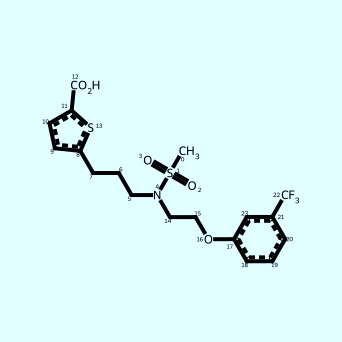 CS(=O)(=O)N(CCCc1ccc(C(=O)O)s1)CCOc1cccc(C(F)(F)F)c1